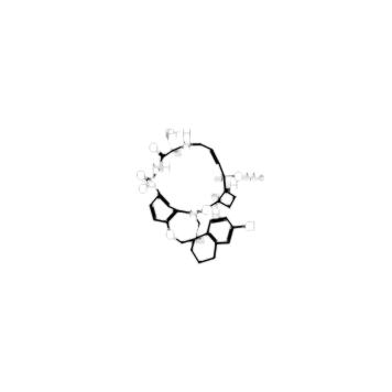 CO[C@@H]1C=CCN[C@@H](C(C)C)C(=O)NS(=O)(=O)c2ccc3c(c2)N(C[C@@H]2CC[C@H]21)C[C@@]1(CCCc2cc(Cl)ccc21)CO3